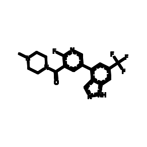 CN1CCN(C(=O)c2cc(-c3cc(C(F)(F)F)cc4[nH]ncc34)cnc2F)CC1